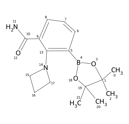 CC1(C)OB(c2cccc(C(N)=O)c2N2CCC2)OC1(C)C